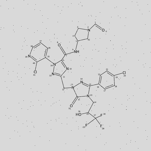 O=CN1CCC(NC(=O)c2nc(Cn3nc(-c4ccc(Cl)cc4)n(CC(O)C(F)(F)F)c3=O)nn2-c2cccnc2Cl)C1